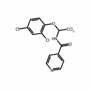 O=C(NC(Oc1ccc(Cl)cc1Cl)C(Cl)(Cl)Cl)c1ccncc1